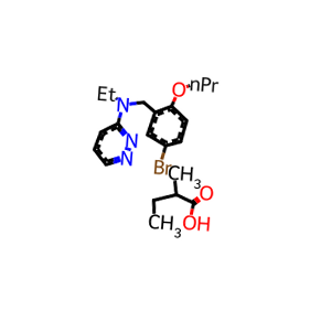 CCC(C)C(=O)O.CCCOc1ccc(Br)cc1CN(CC)c1cccnn1